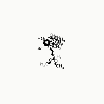 CCOC(OCC)[SiH2]CCCOc1ccc(O)cc1[P+](C(C)(C)C)(C(C)(C)C)C(C)(C)C.[Br-]